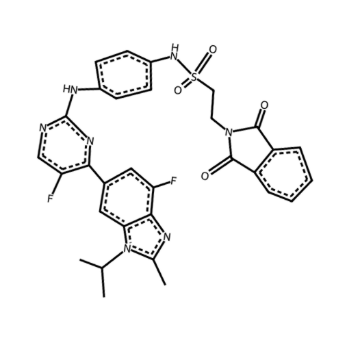 Cc1nc2c(F)cc(-c3nc(Nc4ccc(NS(=O)(=O)CCN5C(=O)c6ccccc6C5=O)cc4)ncc3F)cc2n1C(C)C